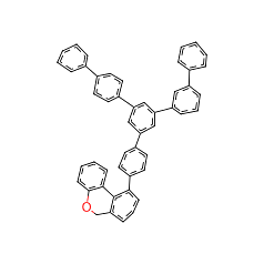 c1ccc(-c2ccc(-c3cc(-c4ccc(-c5cccc6c5-c5ccccc5OC6)cc4)cc(-c4cccc(-c5ccccc5)c4)c3)cc2)cc1